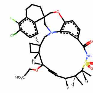 C[C@@H]1[C@@H](C)S(=O)(=O)NC(=O)c2ccc3c(c2)N(C[C@@H]2CC[C@H]2[C@@H](OCC(=O)O)C2=C[C@H]1C2)C[C@@]1(CCCc2c1ccc(Cl)c2F)CO3